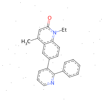 CCn1c(=O)cc(C)c2cc(-c3cccnc3-c3ccccc3)ccc21